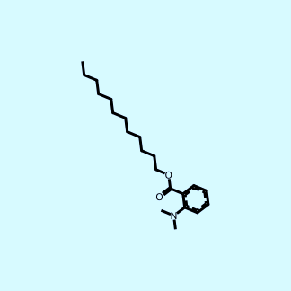 CCCCCCCCCCCCOC(=O)c1ccccc1N(C)C